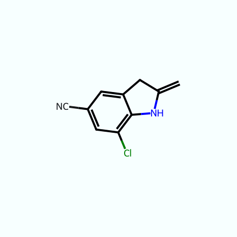 C=C1Cc2cc(C#N)cc(Cl)c2N1